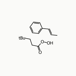 CC(C)(C)CCC(=O)OO.CC=Cc1ccccc1